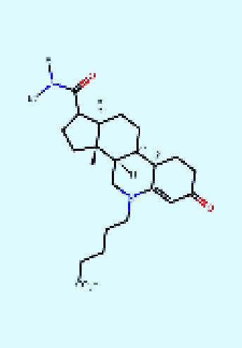 CCN(CC)C(=O)C1CC[C@H]2[C@@H]3CN(CCCCC(=O)O)C4=CC(=O)CC[C@]4(C)[C@@H]3CC[C@]12C